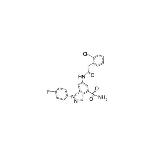 NS(=O)(=O)c1cc(NC(=O)Cc2ccccc2Cl)cc2c1cnn2-c1ccc(F)cc1